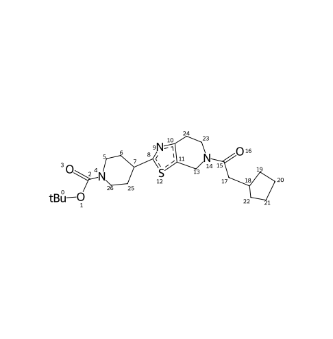 CC(C)(C)OC(=O)N1CCC(c2nc3c(s2)CN(C(=O)CC2CCCC2)CC3)CC1